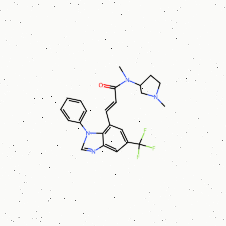 CN1CCC(N(C)C(=O)C=Cc2cc(C(F)(F)F)cc3ncn(-c4ccccc4)c23)C1